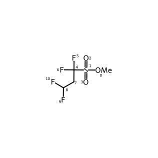 COS(=O)(=O)C(F)(F)CC(F)F